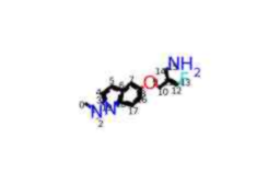 CN(C)c1ccc2cc(OC/C(=C/F)CN)ccc2n1